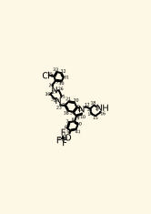 FC(F)(F)Oc1ccc(-c2cn(CC3CCCNC3)c3ccc(CN4CCN(Cc5ccccc5Cl)CC4)cc23)cc1